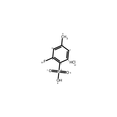 Cc1ccc(S(=O)(=O)O)c(F)c1.Cl